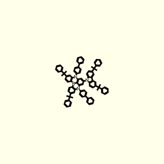 CC(C)(c1ccccc1)c1ccc2c(c1)N(c1ccc(-c3ccccc3)cc1)c1cc(-n3c4ccc(C(C)(C)c5ccccc5)cc4c4cc(C(C)(C)c5ccccc5)ccc43)cc3c1B2c1ccc(C(C)(C)c2ccccc2)cc1N3c1ccc(-c2ccccc2)cc1